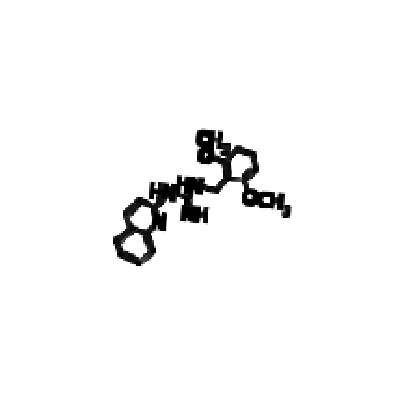 COc1cccc(OC)c1CNC(=N)Nc1ccc2ccccc2n1